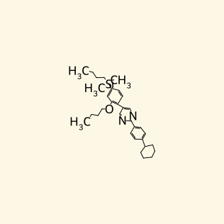 CCCCOc1cc([Si](C)(C)CCCC)ccc1-c1cnc(-c2ccc(C3CCCCC3)cc2)nc1